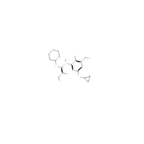 CC/C(C)=C(\OC1CCCCC1)N(C)c1cc(OC2CC2)cc(CCl)c1C